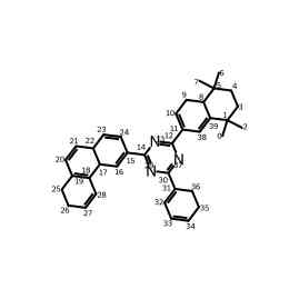 CC1(C)CCC(C)(C)C2CC=C(c3nc(C4=CC5C6=C(C=CC5C=C4)CCC=C6)nc(C4=CC=CCC4)n3)C=C21